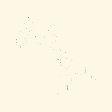 COC(=O)c1ccc(-c2nc3nc4nc(-c5ccccc5)c(-c5ccc(N6c7ccccc7Oc7ccccc76)cc5)nc4nc3nc2-c2ccc(C(=O)OC)cc2)cc1